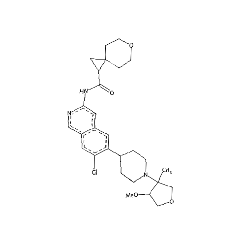 COC1COCC1(C)N1CCC(c2cc3cc(NC(=O)C4CC45CCOCC5)ncc3cc2Cl)CC1